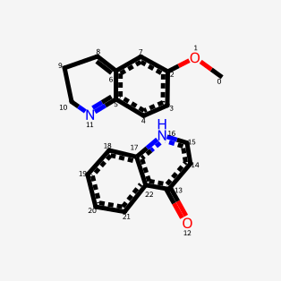 COc1ccc2c(c1)=CCCN=2.O=c1cc[nH]c2ccccc12